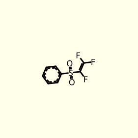 O=S(=O)(C(F)=C(F)F)c1ccccc1